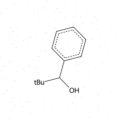 CC(C)(C)C(O)c1ccccc1